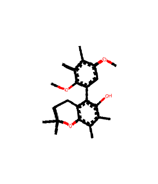 COc1cc(-c2c(O)c(C)c(C)c3c2CCC(C)(C)O3)c(OC)c(C)c1C